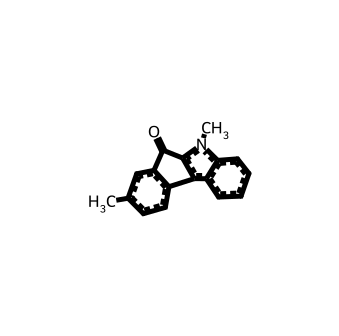 Cc1ccc2c(c1)C(=O)c1c-2c2ccccc2n1C